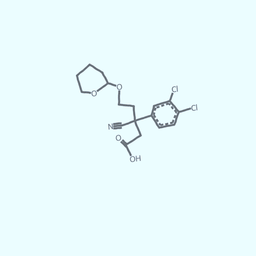 N#CC(CCOC1CCCCO1)(CC(=O)O)c1ccc(Cl)c(Cl)c1